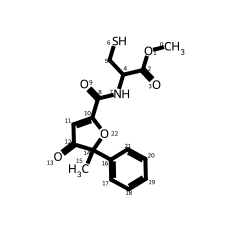 COC(=O)C(CS)NC(=O)C1=CC(=O)C(C)(c2ccccc2)O1